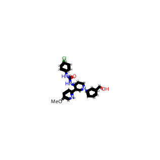 COc1ccc(C2CN(c3cccc(CO)c3)CCC2NC(=O)Nc2ccc(Cl)cc2)nc1